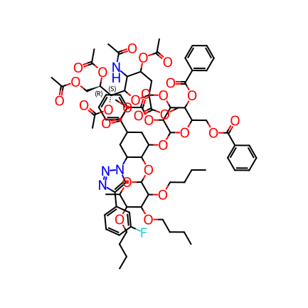 CCCCOC1C(C)OC(OC2C(OC3OC(COC(=O)c4ccccc4)C(OC(=O)c4ccccc4)C(OC4(C(=O)OC)CC(OC(C)=O)C(NC(C)=O)C([C@H](OC(C)=O)[C@@H](COC(C)=O)OC(C)=O)O4)C3OC(=O)c3ccccc3)CC(C(=O)OC)CC2n2cc(-c3cccc(F)c3)nn2)C(OCCCC)C1OCCCC